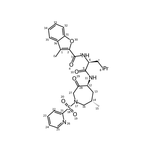 Cc1c(C(=O)N[C@@H](CC(C)C)C(=O)N[C@H]2C[C@H](C)CN(S(=O)(=O)c3ccccn3)CC2=O)oc2ccccc12